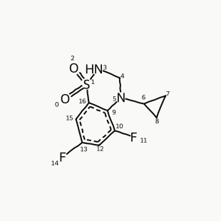 O=S1(=O)NCN(C2CC2)c2c(F)cc(F)cc21